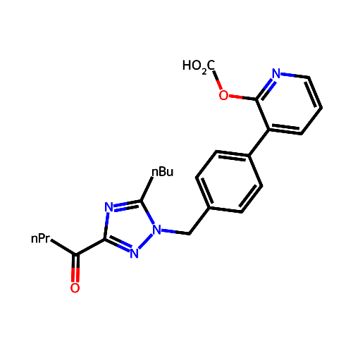 CCCCc1nc(C(=O)CCC)nn1Cc1ccc(-c2cccnc2OC(=O)O)cc1